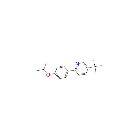 CC(C)Oc1ccc(-c2ccc(C(C)(C)C)cn2)cc1